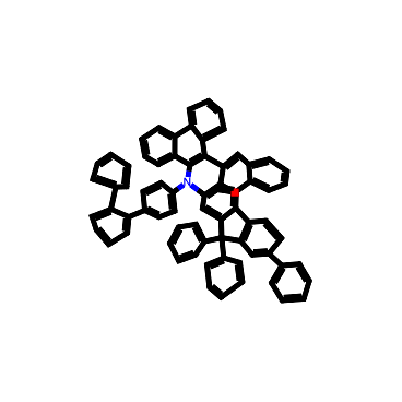 c1ccc(-c2ccc3c(c2)C(c2ccccc2)(c2ccccc2)c2cc(N(c4ccc(-c5ccccc5-c5ccccc5)cc4)c4c(-c5ccc6ccccc6c5)c5ccccc5c5ccccc45)ccc2-3)cc1